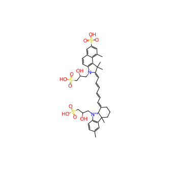 Cc1ccc2c(c1)C1(C)CCC\C(=C/C=C/C=C/C=C3\N(CC(O)CS(=O)(=O)O)c4ccc5cc(S(=O)(=O)O)cc(C)c5c4C3(C)C)C1=[N+]2CC(O)CS(=O)(=O)O